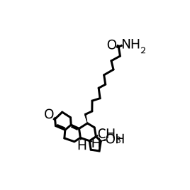 C[C@]12C[C@H](CCCCCCCCCCC(N)=O)C3=C4CCC(=O)C=C4CC[C@H]3[C@@H]1CC[C@@H]2O